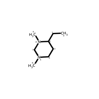 CCC1CCN(C)CN1C